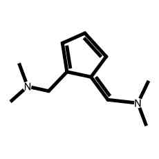 CN(C)/C=C1\C=CC=C1CN(C)C